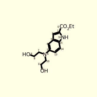 CCOC(=O)c1cc2cc(N(CCO)CCO)ccc2[nH]1